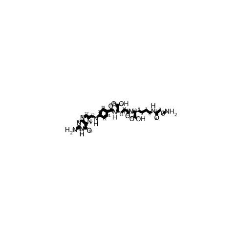 NOCC(=O)NCCCC[C@H](NC(=O)CC[C@H](NC(=O)c1ccc(NCc2cnc3nc(N)[nH]c(=O)c3n2)cc1)C(=O)O)C(=O)O